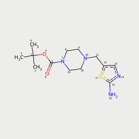 CC(C)(C)OC(=O)N1CCN(Cc2cnc(N)s2)CC1